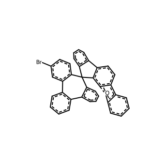 Brc1ccc2c(c1)-c1ccccc1-c1ccccc1C21c2ccccc2-c2ccc3c(oc4ccccc43)c21